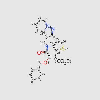 CCOC(=O)c1c(OCc2ccccc2)c(=O)n(Cc2cnn3ccccc23)c2ccsc12